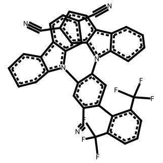 N#Cc1ccc2c3ccccc3n(-c3cc(C#N)c(-c4c(C(F)(F)F)cccc4C(F)(F)F)cc3-n3c4ccccc4c4ccc(C#N)cc43)c2c1